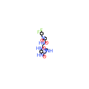 O=C(CCNC(=O)c1cccn(Cc2ccc(F)c(F)c2)c1=O)Nc1ccc2c(c1)/C(=C\c1ncc[nH]1)C(=O)N2